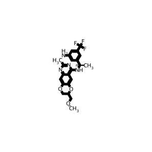 COCC1COc2cc3nc(C)nc(N[C@H](C)c4cc(N)cc(C(F)(F)F)c4)c3cc2O1